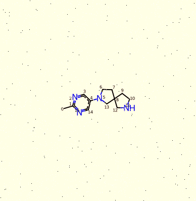 Cc1ncc(N2CCC3(CCNC3)C2)cn1